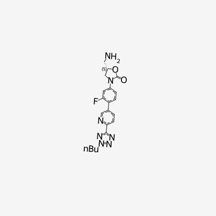 CCCCn1nnc(-c2ccc(-c3ccc(N4C[C@H](CN)OC4=O)cc3F)cn2)n1